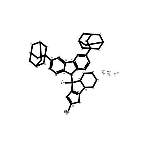 CC(C)C1(C2c3ccc(C45CC6CC(CC(C6)C4)C5)cc3-c3cc(C45CC6CC(CC(C6)C4)C5)ccc32)C2=C(CC(C(C)(C)C)=C2)C2CCCCC21.[Cl-].[Cl-].[Zr+2]